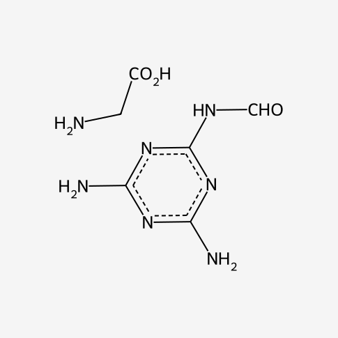 NCC(=O)O.Nc1nc(N)nc(NC=O)n1